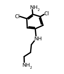 NCCCNc1cc(Cl)c(N)c(Cl)c1